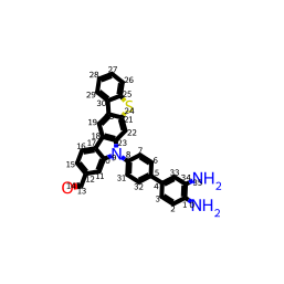 Nc1ccc(-c2ccc(-n3c4cc(C=O)ccc4c4cc5c(cc43)sc3ccccc35)cc2)cc1N